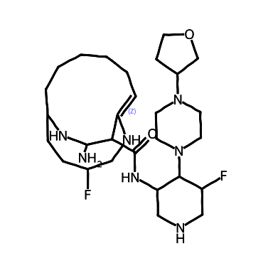 NC1NC2CCCCC/C=C(\NCC(F)CC2)C1C(=O)NC1CNCC(F)C1N1CCN(C2CCOC2)CC1